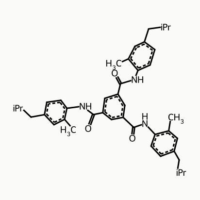 Cc1cc(CC(C)C)ccc1NC(=O)c1cc(C(=O)Nc2ccc(CC(C)C)cc2C)cc(C(=O)Nc2ccc(CC(C)C)cc2C)c1